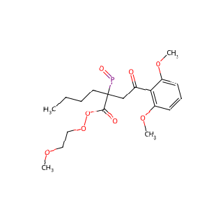 CCCCC(CC(=O)c1c(OC)cccc1OC)(P=O)C(=O)OOCCOC